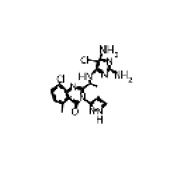 Cc1ccc(Cl)c2nc(C(C)Nc3nc(N)nc(N)c3Cl)n(-c3cc[nH]n3)c(=O)c12